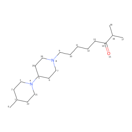 CC1CCN(C2CCN(CCCCCC(=O)C(C)C)CC2)CC1